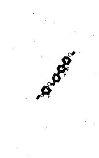 CCOc1ccc(-c2ccc(C3CCC(COc4ccc(OCC)c(F)c4)CC3)c(F)c2F)cc1